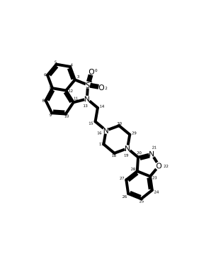 O=S1(=O)c2cccc3cccc(c23)N1CCN1CCN(c2noc3ccccc23)CC1